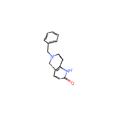 O=c1[c]cc2c([nH]1)CCN(Cc1ccccc1)C2